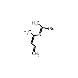 C=C/C=C(C)\N=C(/C)C(C)(C)C